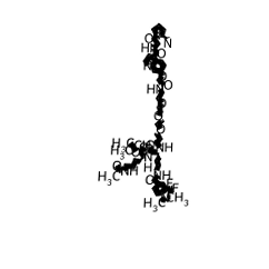 CC(=O)NCCCC[C@H](NC(=O)[C@H](CCCCNC(=O)c1ccc(N(C)C)c(C(F)(F)F)c1)NC(=O)CCOCCOCCOCCNC(=O)COc1ccc2c(C(=O)NCC(=O)N3CCC[C@H]3C#N)ccnc2c1)C(=O)OC(C)(C)C